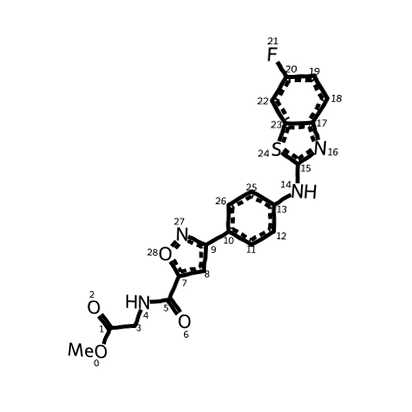 COC(=O)CNC(=O)c1cc(-c2ccc(Nc3nc4ccc(F)cc4s3)cc2)no1